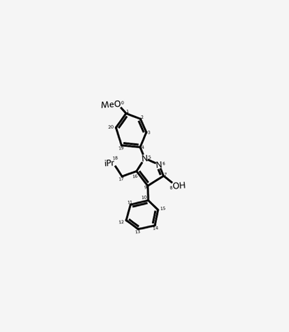 COc1ccc(-n2nc(O)c(-c3ccccc3)c2CC(C)C)cc1